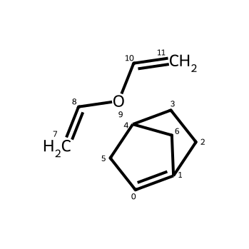 C1=C2CCC(C1)C2.C=COC=C